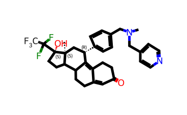 CN(Cc1ccncc1)Cc1ccc([C@H]2C[C@@]3(C)C(CC[C@@]3(O)C(F)(F)C(F)(F)F)C3CCC4=CC(=O)CCC4=C32)cc1